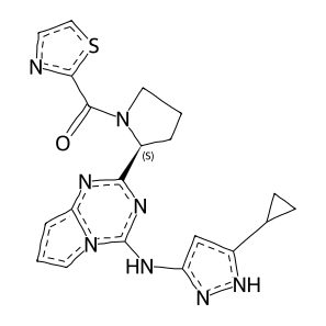 O=C(c1nccs1)N1CCC[C@H]1c1nc(Nc2cc(C3CC3)[nH]n2)n2cccc2n1